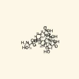 N[C@@H](CC(=O)O)C(=O)O.N[C@@H](CO)C(=O)O.N[C@@H](Cc1ccc(O)cc1)C(=O)O.N[C@@H](Cc1ccccc1)C(=O)O